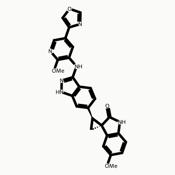 COc1ccc2c(c1)[C@]1(C[C@H]1c1ccc3c(Nc4cc(-c5cocn5)cnc4OC)n[nH]c3c1)C(=O)N2